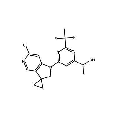 CC(O)c1cc(N2CC3(CC3)c3cnc(Cl)cc32)nc(C(C)(F)F)n1